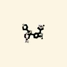 CC(=O)N1CCn2c(C3=CCSCC3)nc(-c3ccc4c(c3)c(-c3cnn(C)c3)nn4C)c2C1